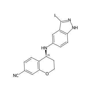 N#Cc1ccc2c(c1)OCC[C@@H]2Nc1ccc2[nH]nc(I)c2c1